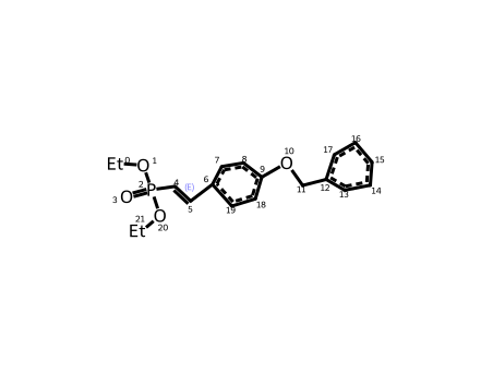 CCOP(=O)(/C=C/c1ccc(OCc2ccccc2)cc1)OCC